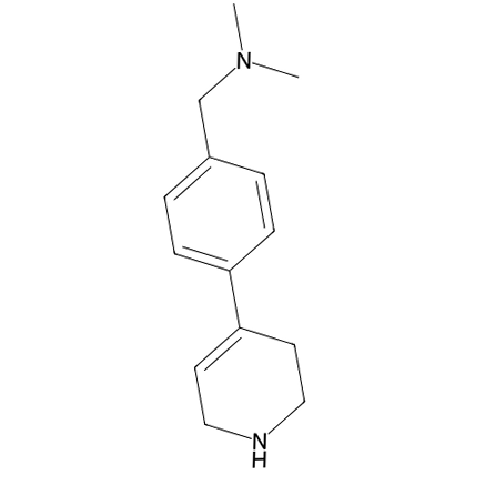 CN(C)Cc1ccc(C2=CCNCC2)cc1